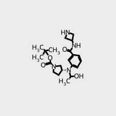 CC(O)N(c1cccc(C(=O)NC2CNC2)c1)[C@@H]1CCN(C(=O)OC(C)(C)C)C1